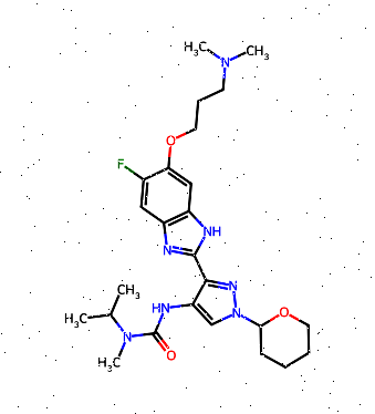 CC(C)N(C)C(=O)Nc1cn(C2CCCCO2)nc1-c1nc2cc(F)c(OCCCN(C)C)cc2[nH]1